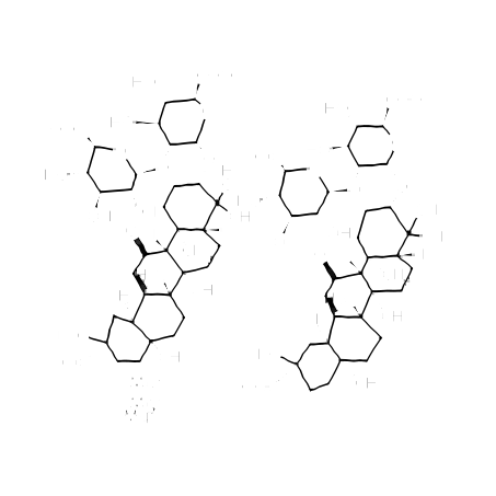 CC1(C)[C@@H](O[C@H]2O[C@H](C(=O)[O-])[C@@H](O)[C@H](O)[C@H]2O[C@@H]2O[C@H](C(=O)[O-])[C@@H](O)[C@H](O)[C@H]2O)CC[C@]2(C)[C@H]3C(=O)C=C4[C@@H]5C[C@@](C)(C(=O)[O-])CC[C@]5(C)CC[C@@]4(C)[C@]3(C)CC[C@@H]12.CC1(C)[C@@H](O[C@H]2O[C@H](C(=O)[O-])[C@@H](O)[C@H](O)[C@H]2O[C@@H]2O[C@H](C(=O)[O-])[C@@H](O)[C@H](O)[C@H]2O)CC[C@]2(C)[C@H]3C(=O)C=C4[C@@H]5C[C@@](C)(C(=O)[O-])CC[C@]5(C)CC[C@@]4(C)[C@]3(C)CC[C@@H]12.[Mg+2].[Mg+2].[Mg+2]